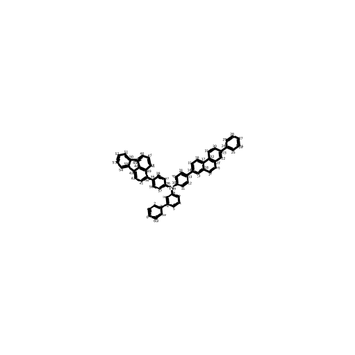 c1ccc(-c2cccc(N(c3ccc(-c4ccc5c(ccc6cc(-c7ccccc7)ccc65)c4)cc3)c3ccc(-c4ccc5c6c(cccc46)-c4ccccc4-5)cc3)c2)cc1